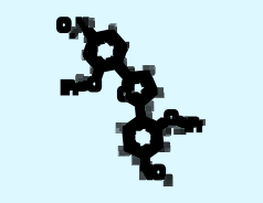 CC(C)Oc1cc([N+](=O)[O-])ccc1-c1ccc(-c2ccc([N+](=O)[O-])cc2OC(C)C)o1